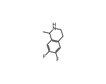 CC1NCCc2cc(F)c(F)cc21